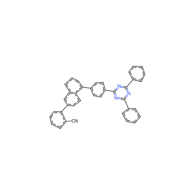 N#Cc1ccccc1-c1ccc2c(-c3ccc(-c4nc(-c5ccccc5)nc(-c5ccccc5)n4)cc3)cccc2c1